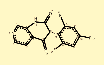 O=C1Nc2cnccc2C(=O)[C@H]1c1c(F)cc(F)cc1F